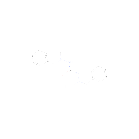 O=C(NN(Cc1ccccc1)C(=O)O)NN(Cc1ccccc1)C(=O)O